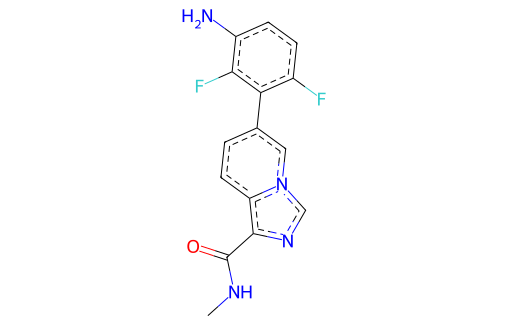 CNC(=O)c1ncn2cc(-c3c(F)ccc(N)c3F)ccc12